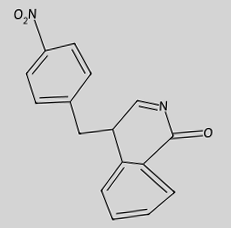 O=C1N=CC(Cc2ccc([N+](=O)[O-])cc2)c2ccccc21